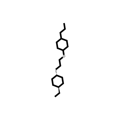 CCCC1CCC(OCCC[C@H]2CC[C@H](CC)CC2)CC1